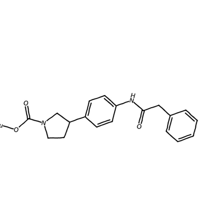 CC(C)(C)OC(=O)N1CCC(c2ccc(NC(=O)Cc3ccccc3)cc2)C1